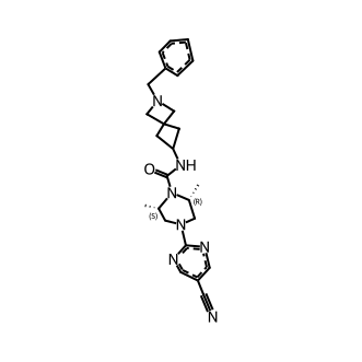 C[C@@H]1CN(c2ncc(C#N)cn2)C[C@H](C)N1C(=O)NC1CC2(C1)CN(Cc1ccccc1)C2